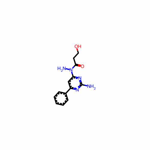 Nc1nc(-c2ccccc2)cc(N(N)C(=O)CCO)n1